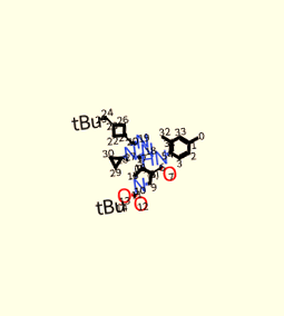 Cc1ccc(NC(=O)[C@H]2CN(C(=O)OC(C)(C)C)C[C@@H]2c2nnc([C@H]3C[C@@H](CC(C)(C)C)C3)n2C2CC2)c(C)c1